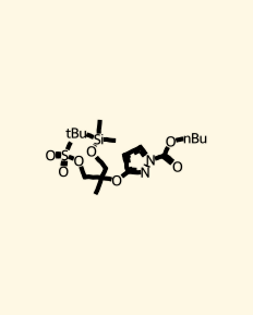 CCCCOC(=O)n1ccc(OC(C)(CO[Si](C)(C)C(C)(C)C)COS(C)(=O)=O)n1